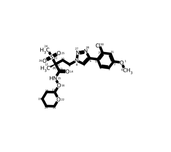 COc1ccc(-c2cn(CC[C@](C)(C(=O)NOC3CCCCO3)S(C)(=O)=O)nn2)c(Cl)c1